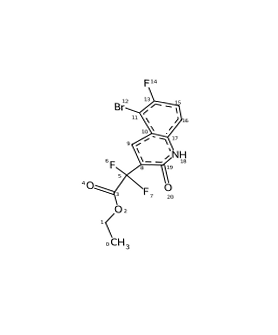 CCOC(=O)C(F)(F)c1cc2c(Br)c(F)ccc2[nH]c1=O